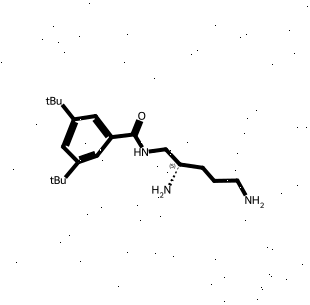 CC(C)(C)c1cc(C(=O)NC[C@@H](N)CCCN)cc(C(C)(C)C)c1